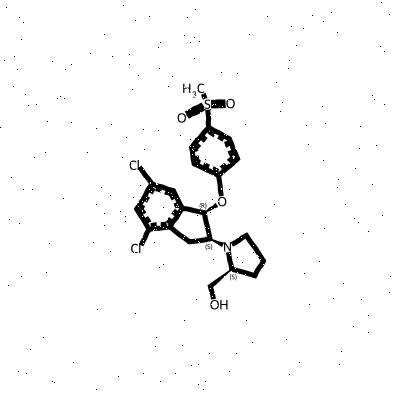 CS(=O)(=O)c1ccc(O[C@@H]2c3cc(Cl)cc(Cl)c3C[C@@H]2N2CCC[C@H]2CO)cc1